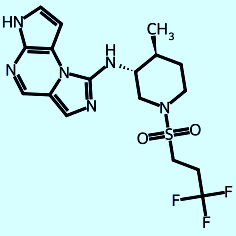 C[C@H]1CCN(S(=O)(=O)CCC(F)(F)F)C[C@@H]1Nc1ncc2cnc3[nH]ccc3n12